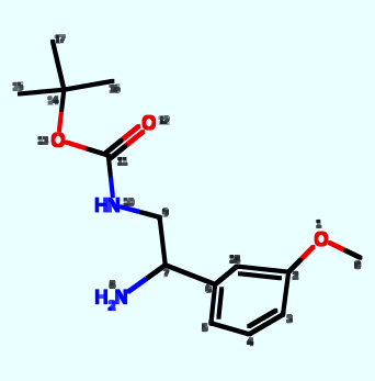 COc1cccc(C(N)CNC(=O)OC(C)(C)C)c1